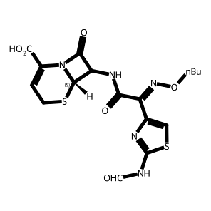 CCCCON=C(C(=O)NC1C(=O)N2C(C(=O)O)=CCS[C@@H]12)c1csc(NC=O)n1